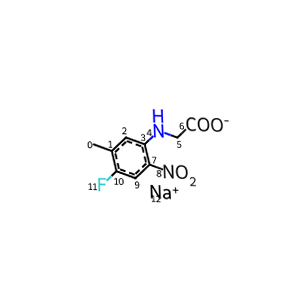 Cc1cc(NCC(=O)[O-])c([N+](=O)[O-])cc1F.[Na+]